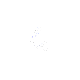 C=C(/C=C\C(=C/C)c1ccc2ncccc2n1)c1cccc(-c2ccc3ccc4c(-c5ccccc5)c5ccccc5nc4c3n2)c1